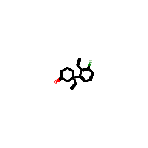 C=Cc1c(F)cccc1C1(C=C)CCCC(=O)C1